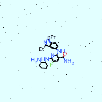 CCCn1nc(CC)c2cc(Nc3nc(N[C@@H]4CCCC[C@@H]4N)c(F)cc3C(N)=O)ccc21